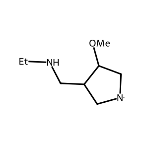 CCNCC1C[N]CC1OC